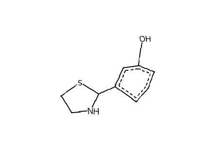 Oc1cccc(C2NCCS2)c1